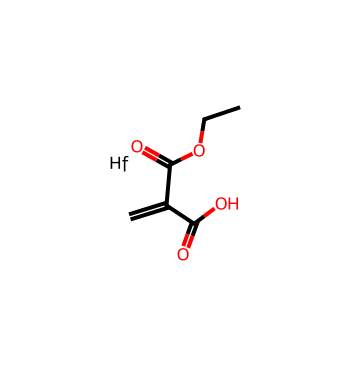 C=C(C(=O)O)C(=O)OCC.[Hf]